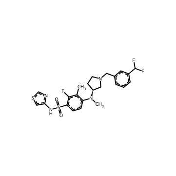 Cc1c(N(C)[C@H]2CCN(Cc3cccc(C(F)F)c3)C2)ccc(S(=O)(=O)Nc2cscn2)c1F